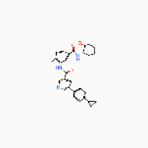 Cc1ccc(C(=O)N[C@H]2CCCC[C@@H]2O)cc1NC(=O)c1cncc(-c2ccc(C3CC3)cc2)c1